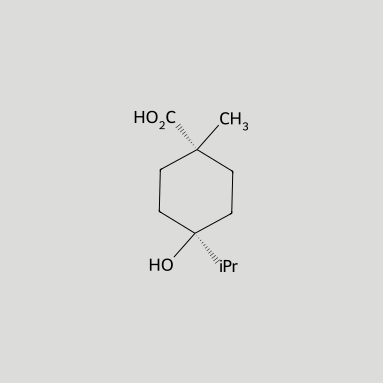 CC(C)[C@]1(O)CC[C@](C)(C(=O)O)CC1